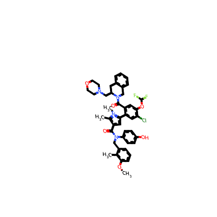 COc1cccc(CN(C(=O)c2cc(-c3cc(Cl)c(OC(F)F)cc3C(=O)N3Cc4ccccc4CC3CN3CCOCC3)n(C)c2C)c2ccc(O)cc2)c1C